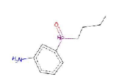 CCCC[PH](=O)c1cccc(N)c1